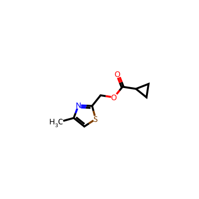 Cc1csc(COC(=O)C2CC2)n1